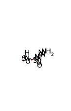 Nc1ncc(-c2nc(N3CCOCC3)c3sc(/C=C/C(=O)NC45CC6CC(CC(C6)C4)C5)cc3n2)cn1